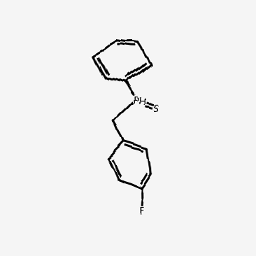 Fc1ccc(C[PH](=S)c2ccccc2)cc1